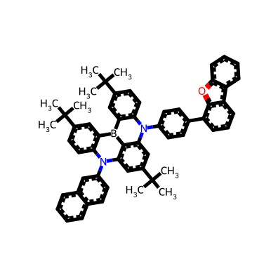 CC(C)(C)c1ccc2c(c1)B1c3cc(C(C)(C)C)ccc3N(c3ccc4ccccc4c3)c3cc(C(C)(C)C)cc(c31)N2c1ccc(-c2cccc3c2oc2ccccc23)cc1